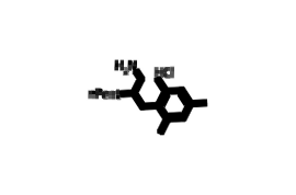 CCCCCC(CN)Cc1c(C)cc(C)cc1C.Cl